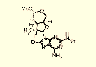 CCNc1nc(N)c2nc(CC)n([C@@H]3O[C@@H]4COP(OC)O[C@H]4[C@@]3(C)F)c2n1